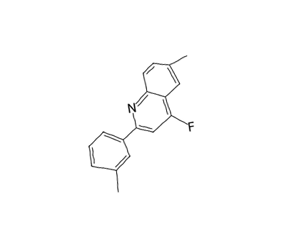 Cc1cccc(-c2cc(F)c3cc(C)ccc3n2)c1